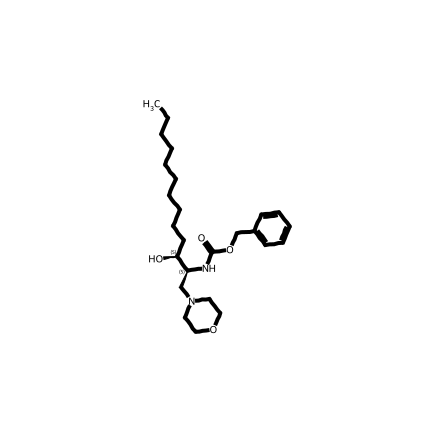 CCCCCCCCCC[C@H](O)[C@H](CN1CCOCC1)NC(=O)OCc1ccccc1